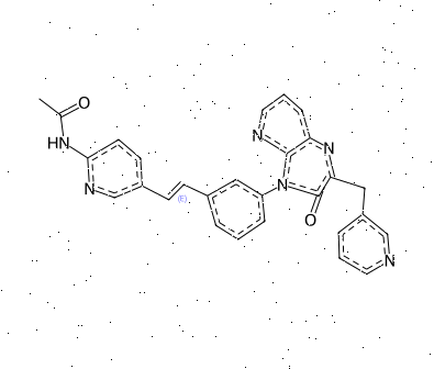 CC(=O)Nc1ccc(/C=C/c2cccc(-n3c(=O)c(Cc4cccnc4)nc4cccnc43)c2)cn1